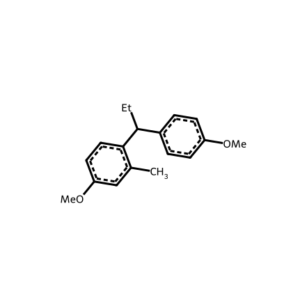 CCC(c1ccc(OC)cc1)c1ccc(OC)cc1C